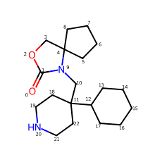 O=C1OCC2(CCCC2)N1CC1(C2CCCCC2)CCNCC1